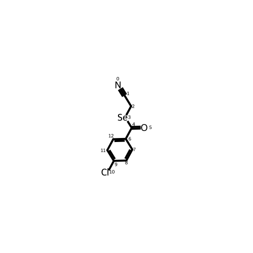 N#CC[Se]C(=O)c1ccc(Cl)cc1